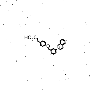 O=C(O)CCc1ccc(OCc2cccc(N3CCc4ccccc4C3)c2)cc1